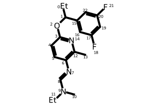 CCC(Oc1ccc(/N=C/N(C)CC)c(C)n1)c1cc(F)cc(F)c1